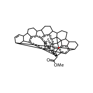 COC(=O)CCCC1(c2cccs2)C23c4c5c6c7c8c4C4CCC8C8C=CC9C%10CCC%11c%12c%10c(c-6c6c-5c5c%10c(c%126)C%11CCC%10C(CCC42)C513)C9C78